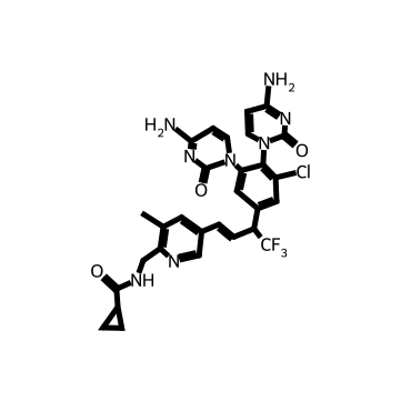 Cc1cc(/C=C/C(c2cc(Cl)c(-n3ccc(N)nc3=O)c(-n3ccc(N)nc3=O)c2)C(F)(F)F)cnc1CNC(=O)C1CC1